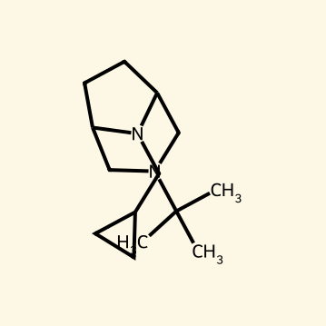 CC(C)(C)N1CC2CCC(C1)N2CC1CC1